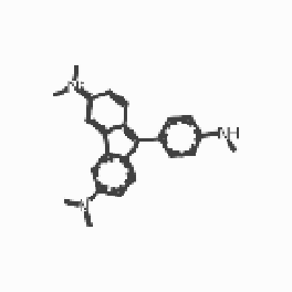 CNc1ccc(C2=C3C=CC(=[N+](C)C)C=C3c3cc(N(C)C)ccc32)cc1